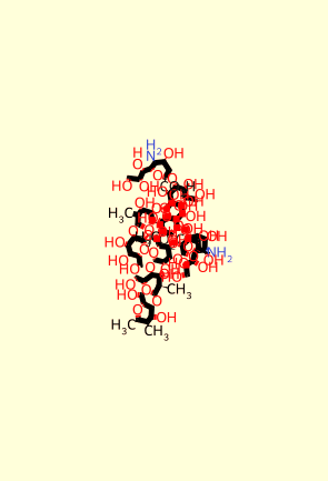 CC1C(O)[C@H](O[C@@H]2OC(CO[C@]3(C(=O)O)C[C@@H](O)C(N)C(C(O)C(O)CO)O3)[C@H](O)C(O)[C@@H]2O)[C@H](CO)O[C@H]1O[C@@H]1C(O)[C@H](O)C(CO)O[C@@H]1OCC1O[C@@H](O[C@@H]2C(CO)O[C@@H](O[C@@H]3C(CO)O[C@@H](C)[C@@H](C)C3O)[C@@H](C)C2O)C(O)[C@@H](O[C@H]2O[C@H](CO)[C@@H](O)C(O)C2O[C@@H]2OC(CO)[C@@H](O[C@@H]3OC(CO)[C@H](O)C(O[C@]4(C(=O)O)C[C@@H](O)[C@@H](N)C(C(O)C(O)CO)O4)[C@@H]3O)C(O)[C@@H]2C)[C@@H]1O